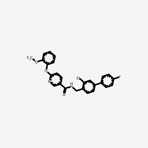 O=C(NCc1ccc(-c2ccc(F)cc2)cc1Cl)c1ccc(Oc2ccccc2OC(F)(F)F)nc1